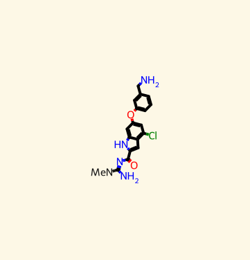 CNC(N)=NC(=O)c1cc2c(Cl)cc(Oc3cccc(CN)c3)cc2[nH]1